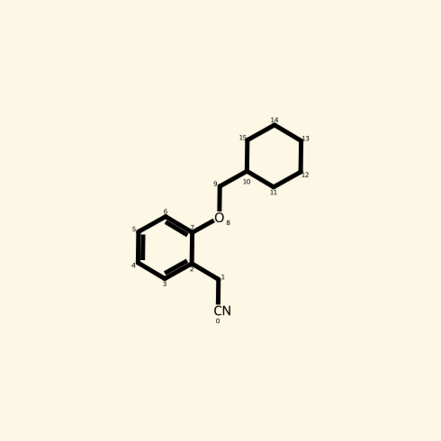 N#CCc1ccccc1OCC1CCCCC1